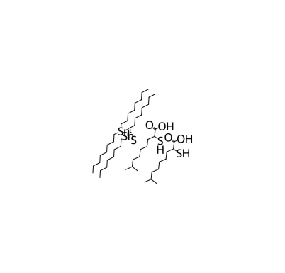 CC(C)CCCCCC(S)C(=O)O.CC(C)CCCCCC(S)C(=O)O.CCCCCCC[CH2][Sn](=[S])[CH2]CCCCCCC.CCCCCCC[CH2][Sn][CH2]CCCCCCC